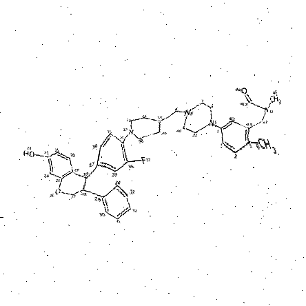 Cc1ccc(N2CCN(CC3CCN(c4ccc(C5c6ccc(O)cc6OCC5c5ccccc5)cc4F)CC3)CC2)cc1CN(C)C=O